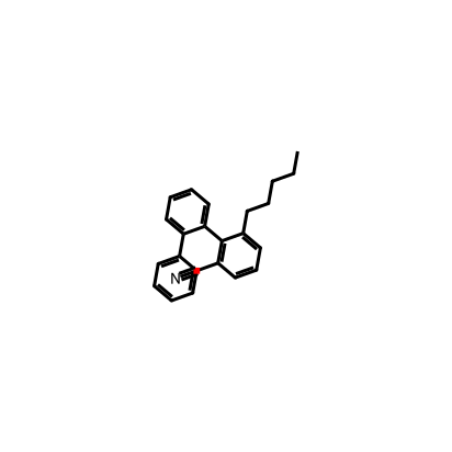 CCCCCc1cccc(C#N)c1-c1ccccc1-c1ccccc1